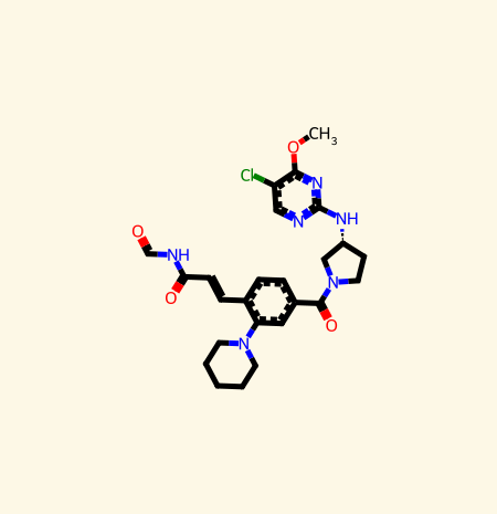 COc1nc(N[C@@H]2CCN(C(=O)c3ccc(C=CC(=O)NC=O)c(N4CCCCC4)c3)C2)ncc1Cl